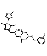 C=C1CC(OCc2cccc(F)c2)CC(C)N1CC(O)Cn1nc(C)n(-c2noc(C)n2)c1=O